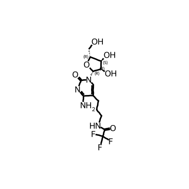 Nc1nc(=O)n([C@@H]2O[C@H](CO)[C@@H](O)[C@H]2O)cc1CCCNC(=O)C(F)(F)F